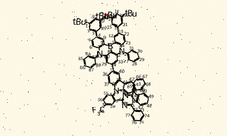 CC(C)(C)c1cc(-c2ccc3c(c2)B2c4cc(-c5cc(C(C)(C)C)cc(C(C)(C)C)c5)ccc4N(c4ccccc4)c4cc(-c5ccc6c(c5)c5ccc(-c7ccccc7)cc5n6-c5ccc(C(F)(F)F)cc5-c5nc(-c6ccccc6)nc(-c6ccccc6)n5)cc(c42)N3c2ccccc2)cc(C(C)(C)C)c1